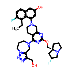 CCc1c(F)ccc2cc(O)cc(N3CCc4c(nc(OC[C@@]56CCCN5C[C@H](F)C6)nc4N4CCCn5nnc(CO)c5C4)C3)c12